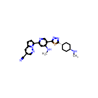 CNc1cc(-c2ccc3cc(C#N)cnn23)ncc1-c1nnc([C@H]2CC[C@H](NC)CC2)s1